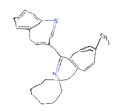 Cc1ccc2c(c1)C(c1cnc3ccccc3c1)=NC1(CCCCC1)C2